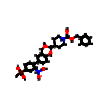 CS(=O)(=O)c1ccc(-c2ccc3c(c2)COC(C2CCN(C(=O)OCc4ccccc4)CC2)O3)c([N+](=O)[O-])c1